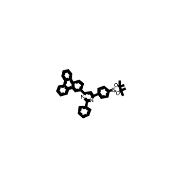 CC1(C)OB(c2ccc(-c3cc(-c4ccc5c6ccccc6c6ccccc6c5c4)nc(-c4ccccc4)n3)cc2)OC1(C)C